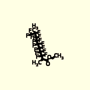 C=C(C(=O)OCC)C(F)(F)C(F)(F)C(F)(F)C(F)(F)C(F)(F)C(F)(F)C(C)(F)C(F)(F)F